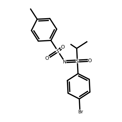 Cc1ccc(S(=O)(=O)N=S(=O)(c2ccc(Br)cc2)C(C)C)cc1